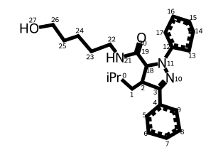 CC(C)CC1C(c2ccccc2)=NN(c2ccccc2)C1C(=O)NCCCCCO